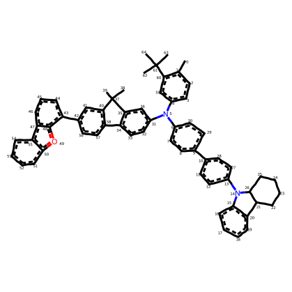 Cc1ccc(N(c2ccc(-c3ccc(N4c5ccccc5C5CCCCC54)cc3)cc2)c2ccc3c(c2)C(C)(C)c2cc(-c4cccc5c4oc4ccccc45)ccc2-3)cc1C(C)(C)C